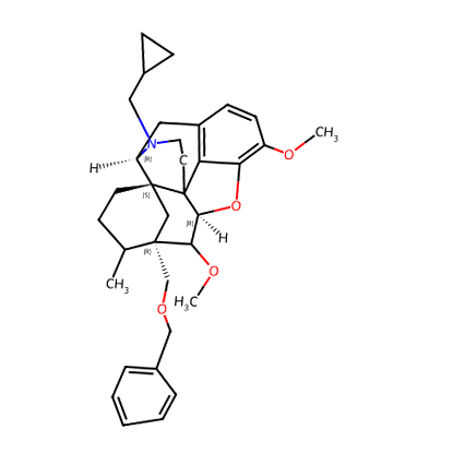 COc1ccc2c3c1O[C@H]1C(OC)[C@]4(COCc5ccccc5)C[C@]5(CCC4C)[C@@H](C2)N(CC2CC2)CCC315